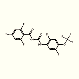 O=C(NC(=O)c1c(F)cc(F)cc1F)Nc1cc(F)c(OC(F)(F)F)cc1F